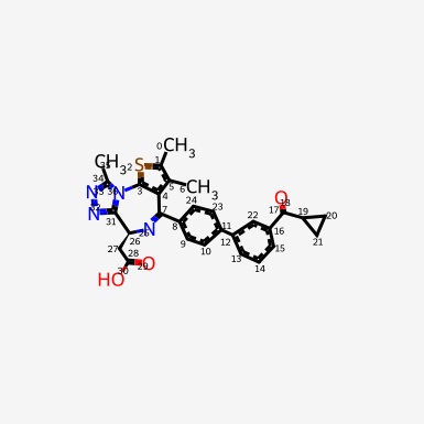 Cc1sc2c(c1C)C(c1ccc(-c3cccc(C(=O)C4CC4)c3)cc1)=N[C@@H](CC(=O)O)c1nnc(C)n1-2